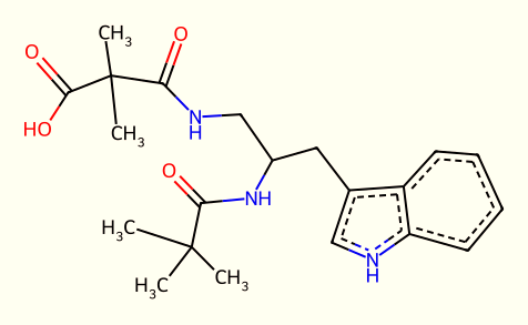 CC(C)(C)C(=O)NC(CNC(=O)C(C)(C)C(=O)O)Cc1c[nH]c2ccccc12